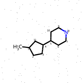 CC1CCC(C2CC[N]CC2)C1